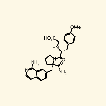 COc1ccc(C[C@@H](NCC(=O)O)C(=O)N2CCC[C@]2(Cc2ccc3ccnc(N)c3c2)C(N)=O)cc1